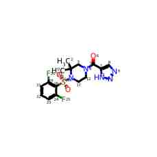 CC1(C)CN(C(=O)c2cnn[nH]2)CCN1S(=O)(=O)c1c(F)cccc1F